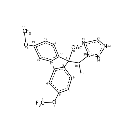 CC(=O)OC(c1ccc(OC(F)(F)F)cc1)(c1ccc(OC(F)(F)F)cc1)C(C)n1ncnn1